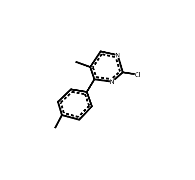 Cc1ccc(-c2nc(Cl)ncc2C)cc1